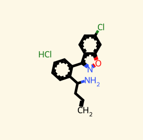 C=CCC(N)c1ccccc1-c1noc2cc(Cl)ccc12.Cl